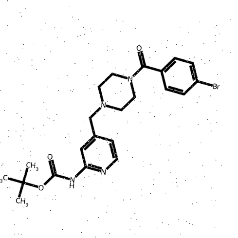 CC(C)(C)OC(=O)Nc1cc(CN2CCN(C(=O)c3ccc(Br)cc3)CC2)ccn1